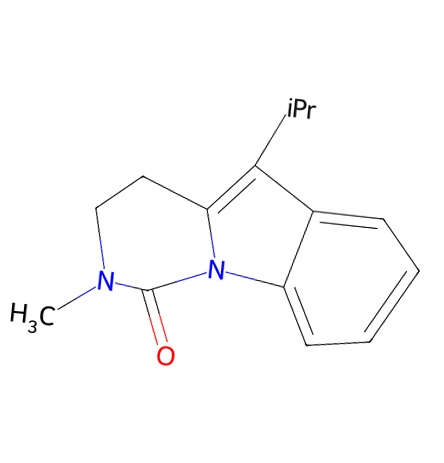 CC(C)c1c2n(c3ccccc13)C(=O)N(C)CC2